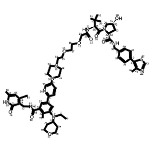 CCN(c1cc(-c2ccc(N3CCN(CCOCCOCC(=O)N[C@H](C(=O)N4C[C@H](O)C[C@H]4C(=O)NCc4ccc(-c5scnc5C)cc4)C(C)(C)C)CC3)cn2)cc(C(=O)NCc2c(C)cc(C)[nH]c2=O)c1C)C1CCOCC1